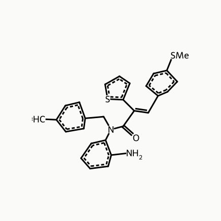 [CH]c1ccc(CN(C(=O)C(=Cc2ccc(SC)cc2)c2cccs2)c2ccccc2N)cc1